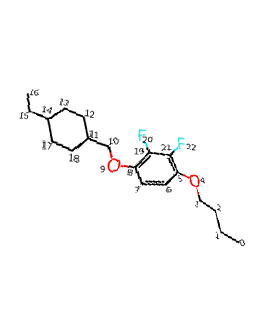 CCCCOc1ccc(OCC2CCC(CC)CC2)c(F)c1F